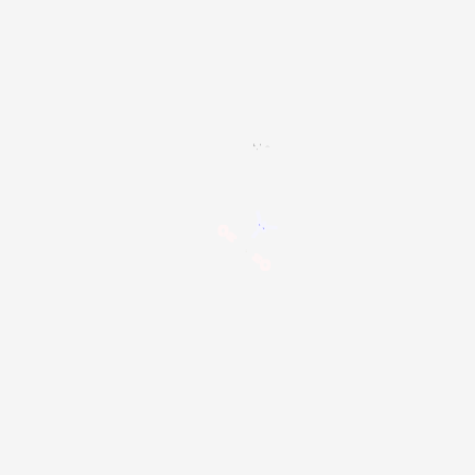 COc1ccccc1C1CC=CN1S(=O)(=O)c1ccc(C)cc1